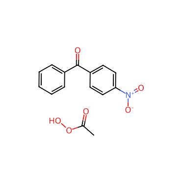 CC(=O)OO.O=C(c1ccccc1)c1ccc([N+](=O)[O-])cc1